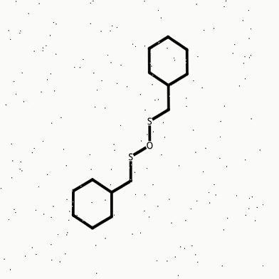 C1CCC(CSOSCC2CCCCC2)CC1